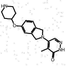 Cc1c(N2Cc3ccc(OC4CCNCC4)cc3C2)cn[nH]c1=O